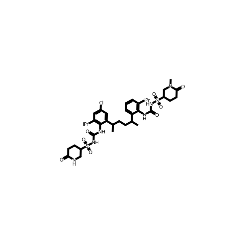 CC(C)c1cc(Cl)cc(C(C)CCC(C)c2cccc(C(C)C)c2NC(=O)NS(=O)(=O)C2CCC(=O)N(C)C2)c1NC(=O)NS(=O)(=O)C1CCC(=O)NC1